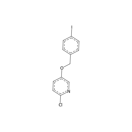 Clc1ccc(OCc2ccc(I)cc2)cn1